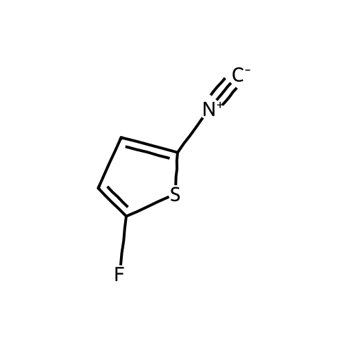 [C-]#[N+]c1ccc(F)s1